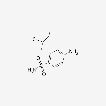 CCC(C)CC.Nc1ccc(S(N)(=O)=O)cc1